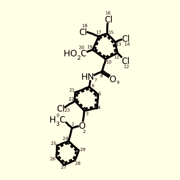 CC(Oc1ccc(NC(=O)c2c(Cl)c(Cl)c(Cl)c(Cl)c2C(=O)O)cc1Cl)c1ccccc1